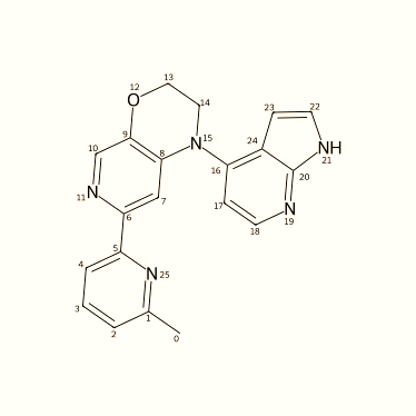 Cc1cccc(-c2cc3c(cn2)OCCN3c2ccnc3[nH]ccc23)n1